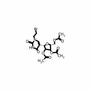 CC(=O)OC[C@H]1O[C@@H](c2cn(CCBr)c(=O)[nH]c2=O)C(OC(C)=O)C1OC(C)=O